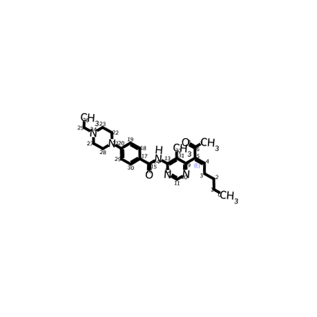 CCCC/C=C(/C(C)=O)c1ncnc(NC(=O)c2ccc(N3CCN(CC)CC3)cc2)c1C